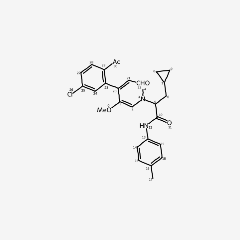 COC(=C/N(C)C(CC1CC1)C(=O)Nc1ccc(C)cc1)/C(=C\C=O)c1cc(Cl)ccc1C(C)=O